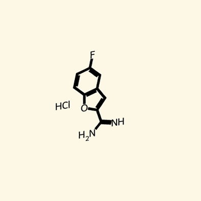 Cl.N=C(N)c1cc2cc(F)ccc2o1